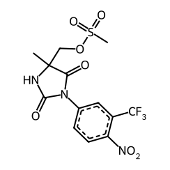 CC1(COS(C)(=O)=O)NC(=O)N(c2ccc([N+](=O)[O-])c(C(F)(F)F)c2)C1=O